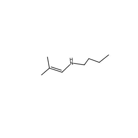 CCCCNC=C(C)C